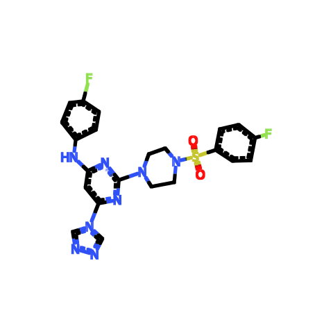 O=S(=O)(c1ccc(F)cc1)N1CCN(c2nc(Nc3ccc(F)cc3)cc(-n3cnnc3)n2)CC1